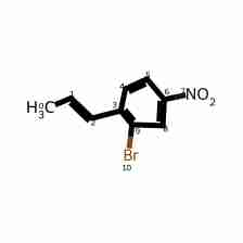 C/C=C/c1ccc([N+](=O)[O-])cc1Br